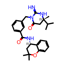 CC(C)[C@]1(C)CC(=O)N(Cc2cccc(C(=O)N[C@H]3CC(C)(C)Oc4ccccc43)c2)C(=N)N1